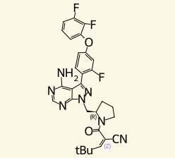 CC(C)(C)/C=C(/C#N)C(=O)N1CCC[C@@H]1Cn1nc(-c2ccc(Oc3cccc(F)c3F)cc2F)c2c(N)ncnc21